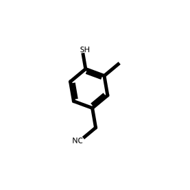 Cc1cc(CC#N)ccc1S